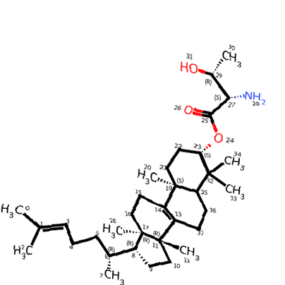 CC(C)=CCC[C@@H](C)[C@H]1CC[C@@]2(C)C3=C(CC[C@]12C)[C@@]1(C)CC[C@H](OC(=O)[C@@H](N)[C@@H](C)O)C(C)(C)C1CC3